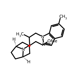 COCCC1C[C@H]2CC[C@@H](C1)N2CC(C)Cn1ncc2ccc(C)cc21